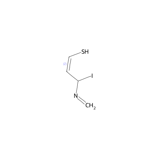 C=NC(I)/C=C\S